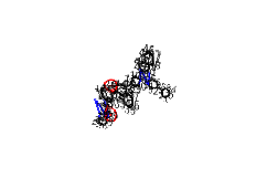 c1ccc(-c2ccc(N(c3ccc(-c4cc5oc6ccc(-c7nc8ccccc8o7)cc6c5c5ccccc45)cc3)c3ccc4ccccc4c3)cc2)cc1